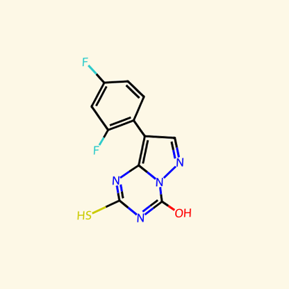 Oc1nc(S)nc2c(-c3ccc(F)cc3F)cnn12